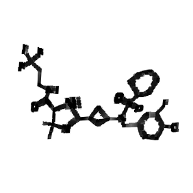 CC1(C)N=C(C23CC(N(Cc4ccc(Cl)c(F)c4)S(=O)(=O)c4ccccc4)(C2)C3)N[C@@H]1C(=O)NCCC(F)(F)F